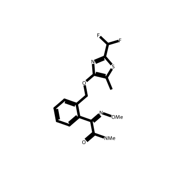 CNC(=O)C(=NOC)c1ccccc1COc1nc(C(F)F)sc1C